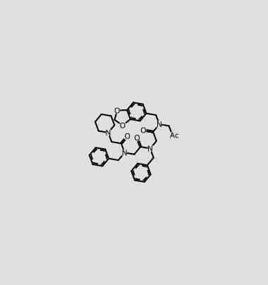 CC(=O)CN(Cc1ccc2c(c1)OCO2)C(=O)CN(Cc1ccccc1)C(=O)CN(Cc1ccccc1)C(=O)CN1CCCCC1